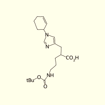 CC(C)(C)OC(=O)NCCCC(Cc1cn(C2C=CCCC2)cn1)C(=O)O